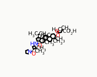 C=C(C)[C@@H]1CC[C@]2(C(=O)NC3C[C@H](C(=O)N4CCCC4)C3(C)C)CC[C@]3(C)C(CCC4[C@@]5(C)CC[C@H](OC(=O)CC(C)(C)C(=O)O)C(C)(C)C5CC[C@]43C)C12